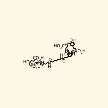 O=C(O)CCc1ccc(O)c(CN(CCN(CC(=O)O)Cc2cc(CCC(=O)NCCCCCC(=O)NCCCC[C@H](NC(=O)N[C@@H](CCC(O)O)C(=O)O)C(=O)O)ccc2O)CC(=O)O)c1